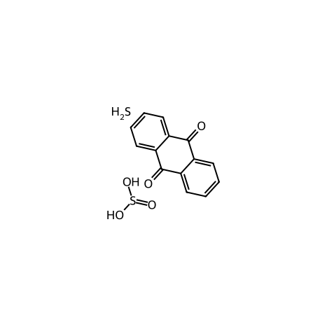 O=C1c2ccccc2C(=O)c2ccccc21.O=S(O)O.S